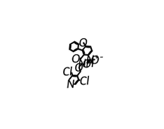 O=C(NOCc1c(Cl)cncc1Cl)c1c([N+](=O)[O-])ccc2oc3ccccc3c12